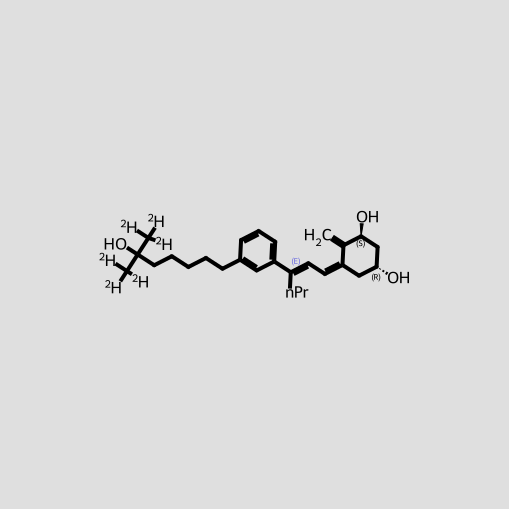 [2H]C([2H])([2H])C(O)(CCCCCc1cccc(/C(=C/C=C2C[C@@H](O)C[C@H](O)C2=C)CCC)c1)C([2H])([2H])[2H]